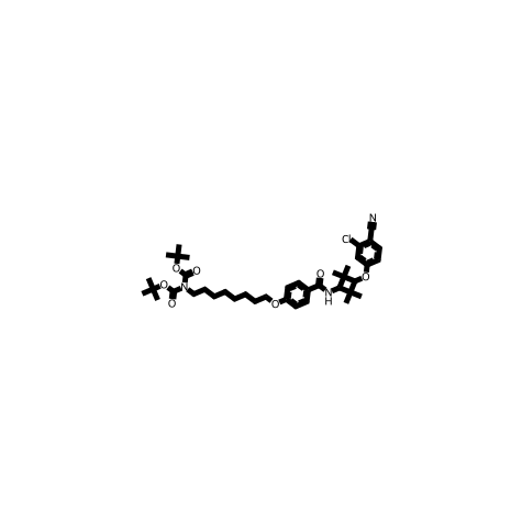 CC(C)(C)OC(=O)N(CCCCCCCCOc1ccc(C(=O)NC2C(C)(C)C(Oc3ccc(C#N)c(Cl)c3)C2(C)C)cc1)C(=O)OC(C)(C)C